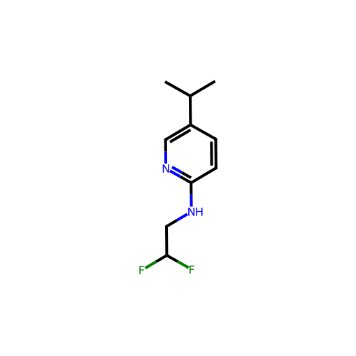 CC(C)c1ccc(NCC(F)F)nc1